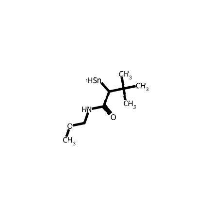 COCNC(=O)[CH]([SnH])C(C)(C)C